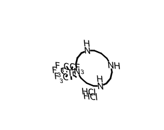 Cl.Cl.[CH3][Ti]([CH3])([N]1CCCNCCCNCCCNCCC1)([C](F)(F)F)([C](F)(F)F)([C](F)(F)F)[C](F)(F)F